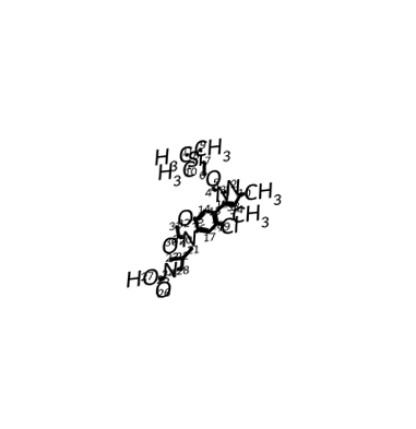 Cc1nn(COCC[Si](C)(C)C)c(-c2cc3c(cc2Cl)N(CC2CN(C(=O)O)C2)C(=O)CO3)c1C